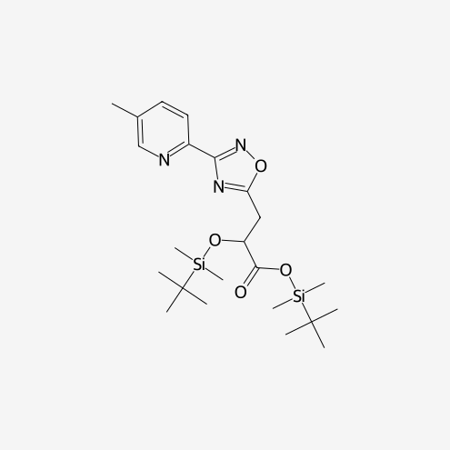 Cc1ccc(-c2noc(CC(O[Si](C)(C)C(C)(C)C)C(=O)O[Si](C)(C)C(C)(C)C)n2)nc1